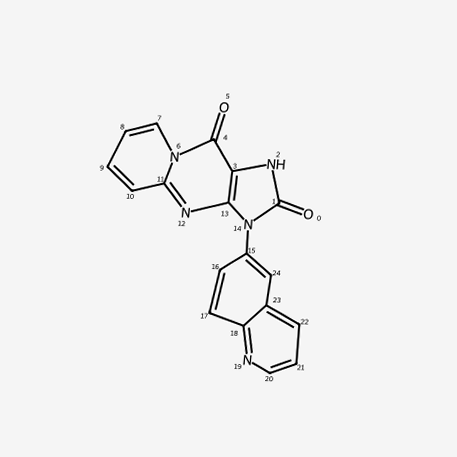 O=c1[nH]c2c(=O)n3ccccc3nc2n1-c1ccc2ncccc2c1